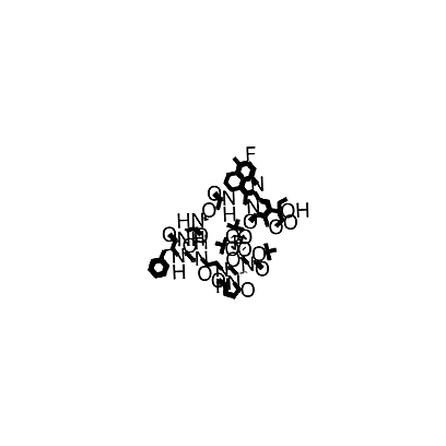 CC[C@@]1(O)C(=O)OCc2c1cc1n(c2=O)Cc2c-1nc1cc(F)c(C)c3c1c2[C@@H](NC(=O)COCNC(=O)CNC(=O)[C@H](Cc1ccccc1)NC(=O)CNC(=O)CNC(=O)[C@H](CN(COP(=O)(OC(C)(C)C)OC(C)(C)C)C(=O)OC(C)(C)C)N1C(=O)C=CC1=O)CC3